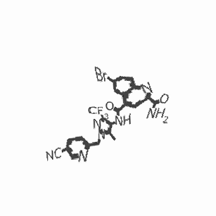 Cc1c(NC(=O)c2cc(C(N)=O)nc3ccc(Br)cc23)c(C(F)(F)F)nn1Cc1ccc(C#N)cn1